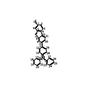 Ic1ccc2c(c1)sc1cc(-c3ccc(N(c4ccccc4)c4ccccc4)cc3)ccc12